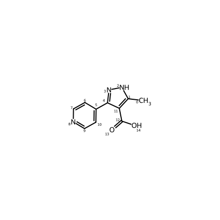 Cc1[nH]nc(-c2ccncc2)c1C(=O)O